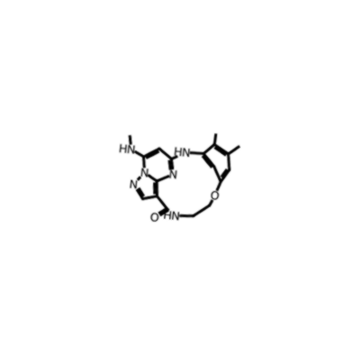 CNc1cc2nc3c(cnn13)C(=O)NCCOc1cc(C)c(C)c(c1)N2